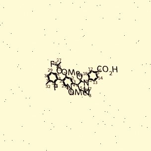 COc1cc(C(CC2CC2)C(=O)Nc2ccc(C(=O)O)cc2)[n+](OC)cc1-c1c(OC(C)F)ccc(C)c1F